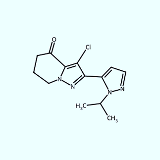 CC(C)n1nccc1-c1nn2c(c1Cl)C(=O)CCC2